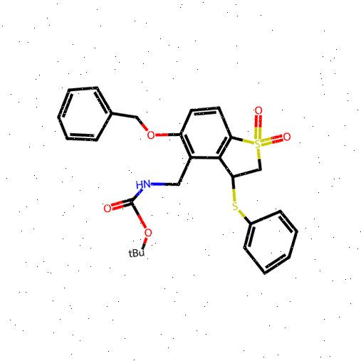 CC(C)(C)OC(=O)NCc1c(OCc2ccccc2)ccc2c1C(Sc1ccccc1)CS2(=O)=O